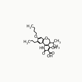 CCCCOc1cc2c(cc1CCC)-c1[nH]c(=O)c(C(=O)O)c(O)c1[C@H](C(C)C)CO2